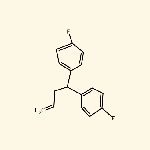 C=CCC(c1ccc(F)cc1)c1ccc(F)cc1